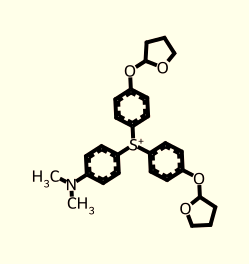 CN(C)c1ccc([S+](c2ccc(OC3CCCO3)cc2)c2ccc(OC3CCCO3)cc2)cc1